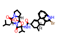 CC(C)C[C@H]1C(=O)N2CCC[C@H]2[C@]2(O)O[C@](NC(=O)[C@@H]3C=C4c5cccc6[nH]c(Br)c(c56)C[C@H]4C(C)C3)(C(C)C)C(=O)N12